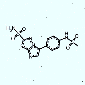 CS(=O)(=O)Nc1ccc(-c2cnc3sc(S(N)(=O)=O)nn23)cc1